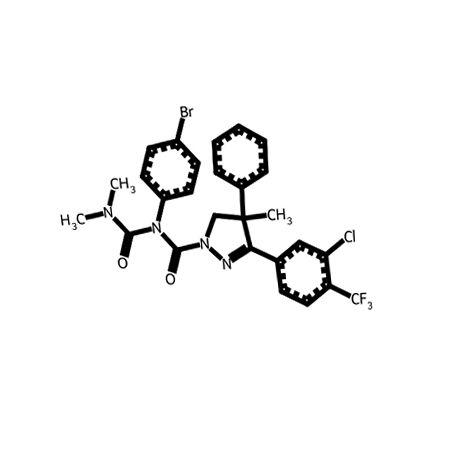 CN(C)C(=O)N(C(=O)N1CC(C)(c2ccccc2)C(c2ccc(C(F)(F)F)c(Cl)c2)=N1)c1ccc(Br)cc1